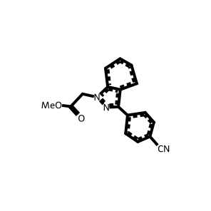 COC(=O)Cn1nc(-c2ccc(C#N)cc2)c2ccccc21